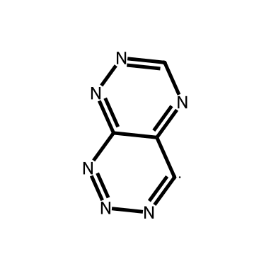 [c]1nnnc2nncnc12